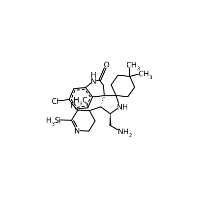 CC1(C)CCC2(CC1)N[C@@H](CN)[C@H]([C@@]1(C)CCN=C([SiH3])C1F)C21CC(=O)Nc2cc(Cl)ccc21